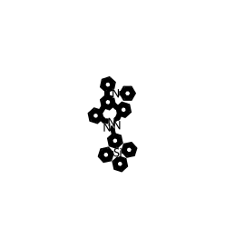 c1ccc(-n2c3ccccc3c3cc4cc(c5ccccc5c5nc(-c6ccc([Si](c7ccccc7)(c7ccccc7)c7ccccc7)cc6)nc(n5)c5ccccc45)c32)cc1